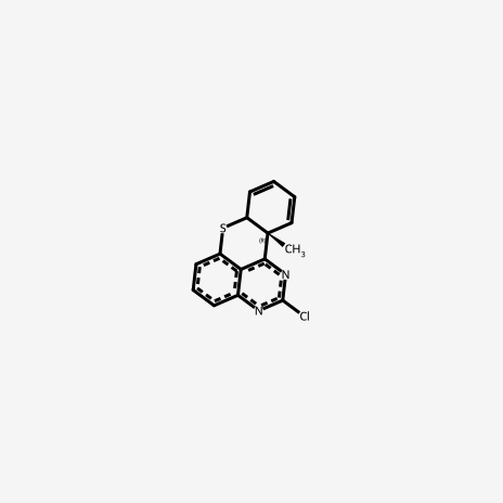 C[C@]12C=CC=CC1Sc1cccc3nc(Cl)nc2c13